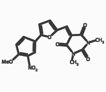 COc1ccc(-c2ccc(C=C3C(=O)N(C)C(=O)N(C)C3=O)o2)cc1[N+](=O)[O-]